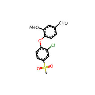 COc1cc(C=O)ccc1Oc1ccc(S(C)(=O)=O)cc1Cl